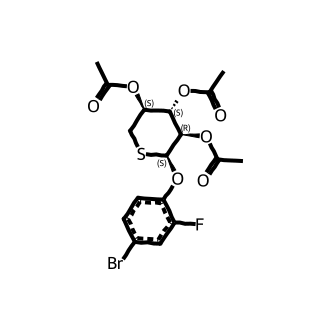 CC(=O)O[C@@H]1[C@@H](OC(C)=O)[C@@H](Oc2ccc(Br)cc2F)SC[C@H]1OC(C)=O